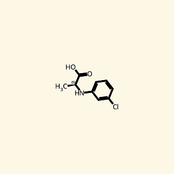 C[C@H](Nc1cccc(Cl)c1)C(=O)O